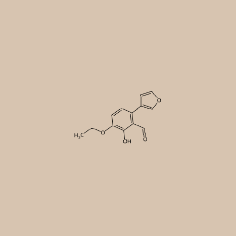 CCOc1ccc(-c2ccoc2)c(C=O)c1O